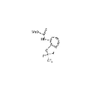 [CH2]OC(=O)Nc1ccccc1OC(F)(F)C(F)(F)F